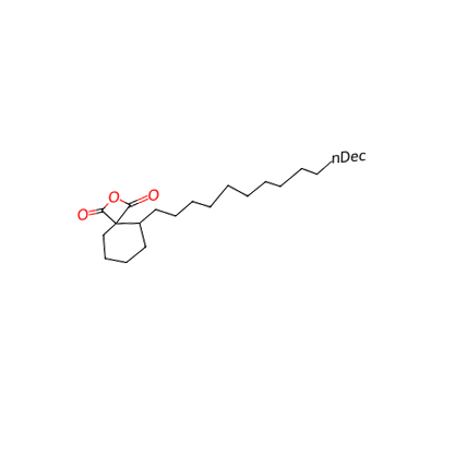 CCCCCCCCCCCCCCCCCCCCC1CCCCC12C(=O)OC2=O